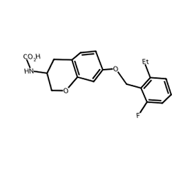 CCc1cccc(F)c1COc1ccc2c(c1)OCC(NC(=O)O)C2